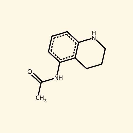 CC(=O)Nc1cccc2c1CCCN2